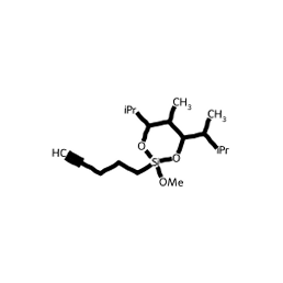 C#CCCC[Si]1(OC)OC(C(C)C)C(C)C(C(C)C(C)C)O1